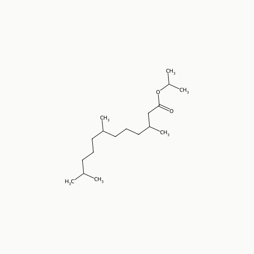 CC(C)CCCC(C)CCCC(C)CC(=O)OC(C)C